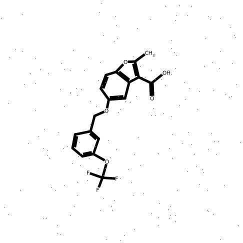 Cc1oc2ccc(OCc3cccc(OC(F)(F)F)c3)cc2c1C(=O)O